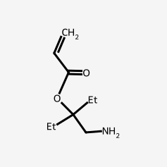 C=CC(=O)OC(CC)(CC)CN